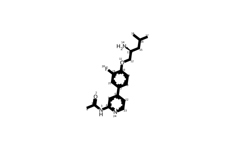 CC(=O)Nc1cc(-c2ccc(OC[C@@H](N)CC(C)C)c(F)c2)ccn1